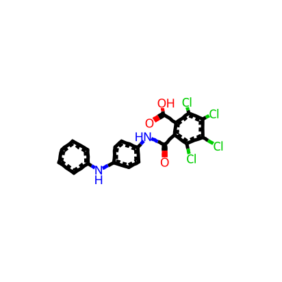 O=C(O)c1c(Cl)c(Cl)c(Cl)c(Cl)c1C(=O)Nc1ccc(Nc2ccccc2)cc1